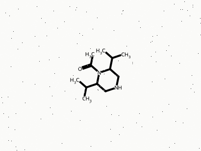 CC(=O)N1C(C(C)C)CNCC1C(C)C